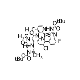 Cc1ccnc(C(C)C)c1-n1c(=O)c2c(c3cc(Cl)c(-c4ccc(F)c5nc(NC(=O)OC(C)(C)C)sc45)nc31)N1C[C@@H](C)N(C(=O)OC(C)(C)C)C[C@@H]1C(=O)N2C